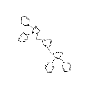 c1ccc(-c2ncn(Cc3cccc(Cn4cnc(-c5ccccc5)c4-c4ccccc4)c3)c2-c2ccccc2)cc1